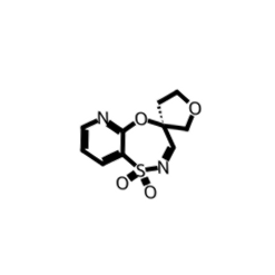 O=S1(=O)N=C[C@@]2(CCOC2)Oc2ncccc21